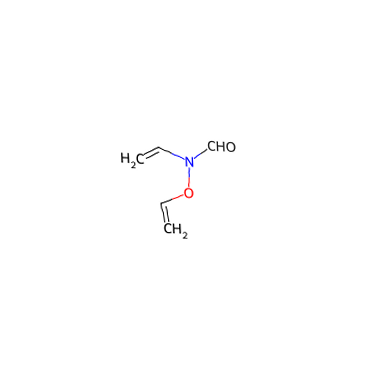 C=CON(C=C)C=O